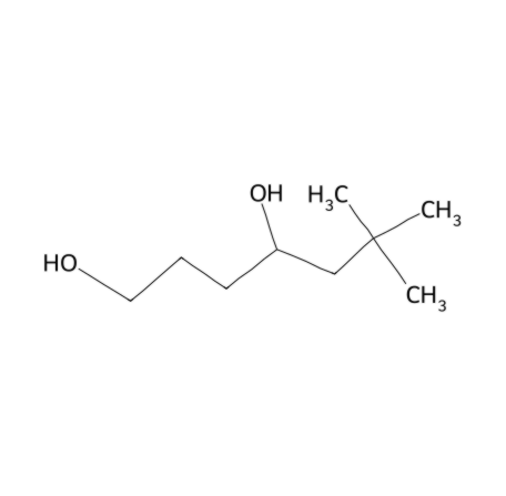 CC(C)(C)CC(O)CCCO